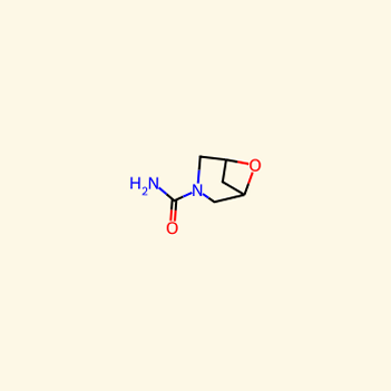 NC(=O)N1CC2CC(C1)O2